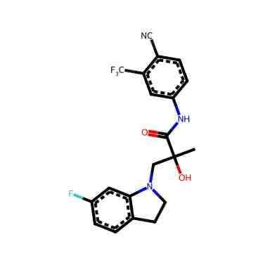 CC(O)(CN1CCc2ccc(F)cc21)C(=O)Nc1ccc(C#N)c(C(F)(F)F)c1